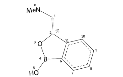 CNC[C@H]1OB(O)c2ccccc21